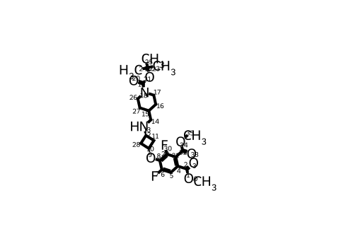 COC(=O)c1cc(F)c(O[C@H]2C[C@H](NCC3CCN(C(=O)OC(C)(C)C)CC3)C2)c(F)c1C(=O)OC